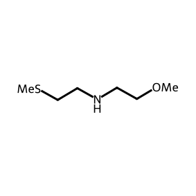 COCCNCCSC